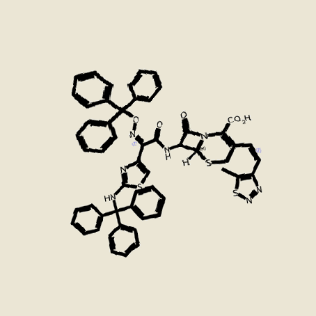 Cc1snnc1/C=C\C1=C(C(=O)O)N2C(=O)C(NC(=O)/C(=N\OC(c3ccccc3)(c3ccccc3)c3ccccc3)c3csc(NC(c4ccccc4)(c4ccccc4)c4ccccc4)n3)[C@H]2SC1